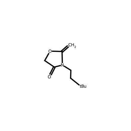 C=C1OCC(=O)N1CCC(C)(C)C